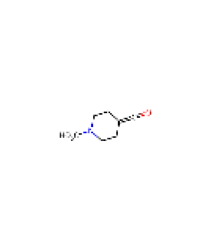 O=C=C1CCN(C(=O)O)CC1